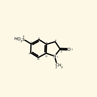 CN1C(=O)Cc2cc(S(=O)(=O)O)ccc21